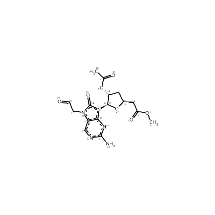 COC(=O)C[C@@H]1C[C@@H](OC(C)=O)[C@H](n2c(=O)n(CC=O)c3cnc(N)nc32)O1